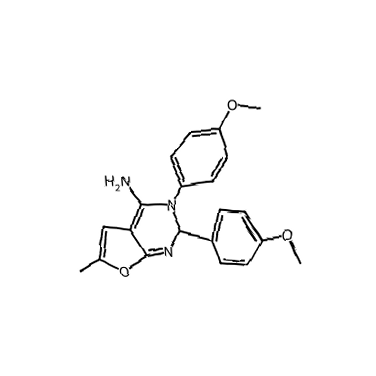 COc1ccc(C2N=c3oc(C)cc3=C(N)N2c2ccc(OC)cc2)cc1